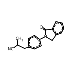 CC(C#N)Cc1ccc(N2Cc3ccccc3C2=O)cc1